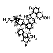 C#Cc1c(F)ccc2c1N([C@H]1CCc3c(nc(OC[C@]4(C)C[C@@H](F)CN4c4ccncc4)nc3N3C[C@H]4CC(O)[C@@H](C3)N4C(=O)C=C)C1)C[C@H](O)C2